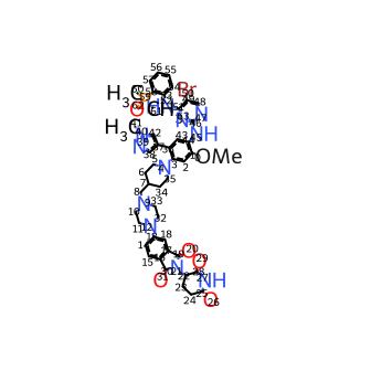 COc1cc(N2CCC(CN3CCN(c4ccc5c(c4)C(=O)N(C4CCC(=O)NC4=O)C5=O)CC3)CC2)c(-c2cnn(C)c2)cc1Nc1ncc(Br)c(Nc2ccccc2P(C)(C)=O)n1